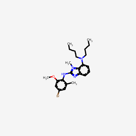 CCCCN(CCCC)c1cccc2nc(Nc3c(C)cc(Br)cc3OC)n(C)c12